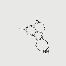 Cc1cc2c3c(c1)c1c(n3CCO2)CCNCC1